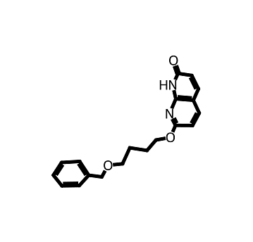 O=c1ccc2ccc(OCCCCOCc3ccccc3)nc2[nH]1